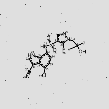 CC(C)(O)Cn1ncc(S(=O)(=O)Nc2ccc(Cl)c3c(C#N)c[nH]c23)c1F